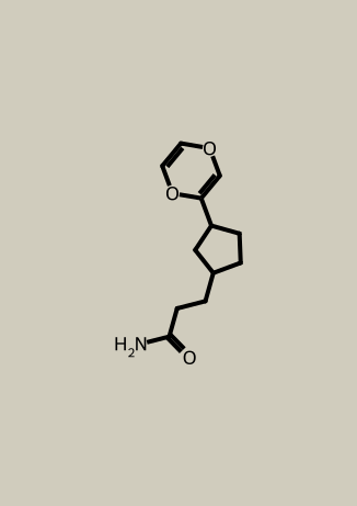 NC(=O)CCC1CCC(C2=COC=CO2)C1